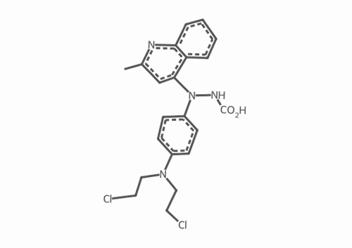 Cc1cc(N(NC(=O)O)c2ccc(N(CCCl)CCCl)cc2)c2ccccc2n1